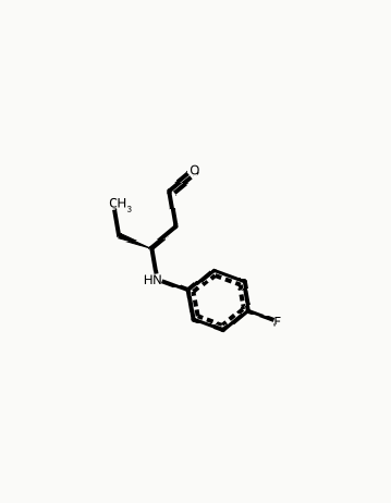 CC[C@@H](CC=O)Nc1ccc(F)cc1